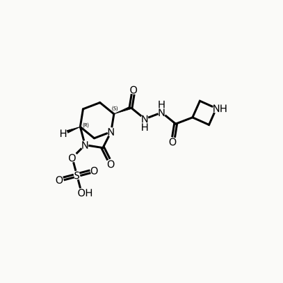 O=C(NNC(=O)[C@@H]1CC[C@@H]2CN1C(=O)N2OS(=O)(=O)O)C1CNC1